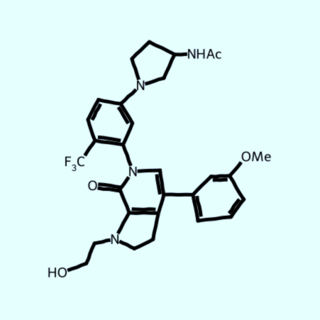 COc1cccc(-c2cn(-c3cc(N4CCC(NC(C)=O)C4)ccc3C(F)(F)F)c(=O)c3c2CCN3CCO)c1